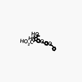 CC(=N)/C(=C(/C)O)c1cc(OCc2ccc(OCCc3ccccc3)cc2)ccc1CCC(=O)O